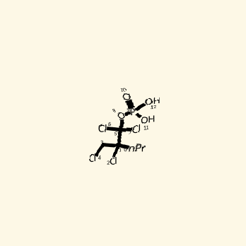 CCCC(Cl)(CCl)C(Cl)(Cl)OP(=O)(O)O